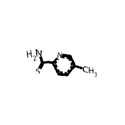 Cc1ccc(C(N)=S)nc1